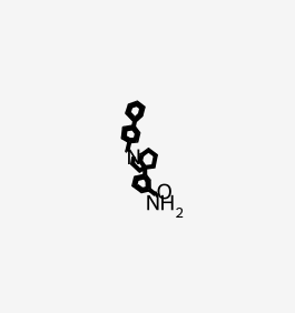 NC(=O)c1cccc(C23CCCC(C2)N(Cc2ccc(-c4ccccc4)cc2)CC3)c1